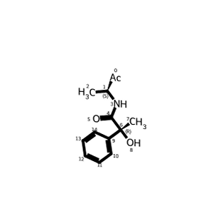 CC(=O)[C@H](C)NC(=O)[C@](C)(O)c1ccccc1